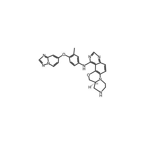 Cc1cc(Nc2ncnc3ccc4c(c23)OC[C@@H]2CNCCN42)ccc1Oc1ccn2ncnc2c1